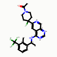 CC(=O)N1CCC(F)(c2cc3c(NC(C)c4cccc(C(F)(F)F)c4C)ncnc3cn2)CC1